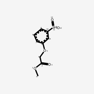 COC(=O)COc1cccc([SH](=O)=O)c1